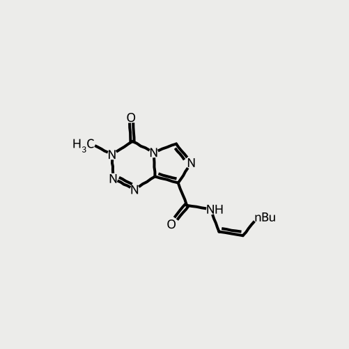 CCCC/C=C\NC(=O)c1ncn2c(=O)n(C)nnc12